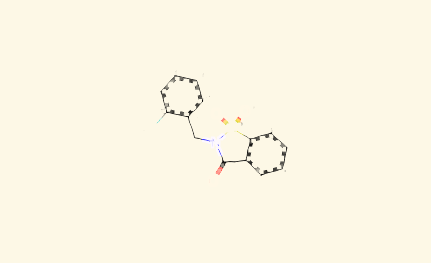 O=C1c2ccccc2S(=O)(=O)N1Cc1ccccc1F